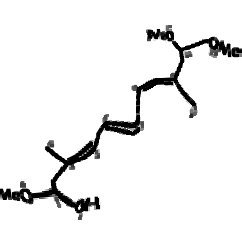 COC(O)/C(C)=C/C=C/C=C(\C)C(OC)OC